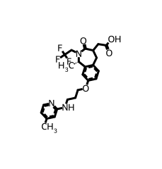 Cc1ccnc(NCCCOc2ccc3c(c2)[C@H](C)N(CC(F)(F)F)C(=O)C(CC(=O)O)C3)c1